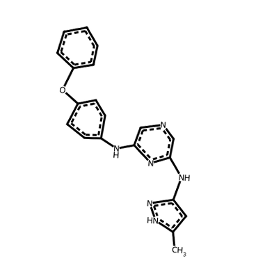 Cc1cc(Nc2cncc(Nc3ccc(Oc4ccccc4)cc3)n2)n[nH]1